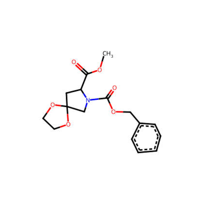 COC(=O)C1CC2(CN1C(=O)OCc1ccccc1)OCCO2